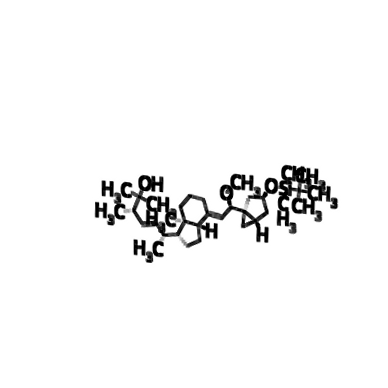 CO[C@H](/C=C1\CCC[C@]2(C)[C@@H]([C@H](C)/C=C/[C@H](C)C(C)(C)O)CC[C@@H]12)[C@@]12C[C@@H](O[Si](C)(C)C(C)(C)C)C[C@@H]1C2